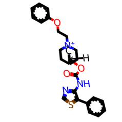 O=C(Nc1ncsc1-c1ccccc1)O[C@H]1C[N+]2(CCOc3ccccc3)CCC1CC2